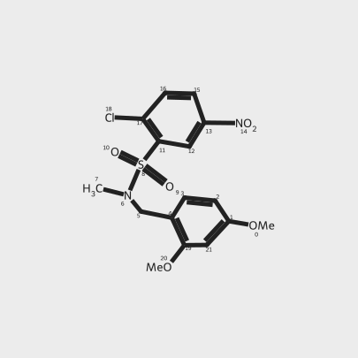 COc1ccc(CN(C)S(=O)(=O)c2cc([N+](=O)[O-])ccc2Cl)c(OC)c1